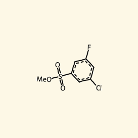 COS(=O)(=O)c1cc(F)cc(Cl)c1